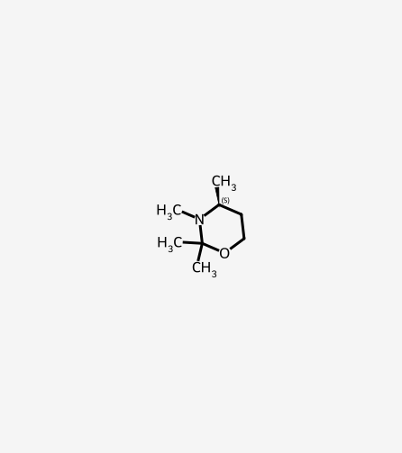 C[C@H]1CCOC(C)(C)N1C